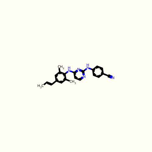 C/C=C/c1cc(C)c(Nc2ccnc(Nc3ccc(C#N)cc3)n2)c(C)c1